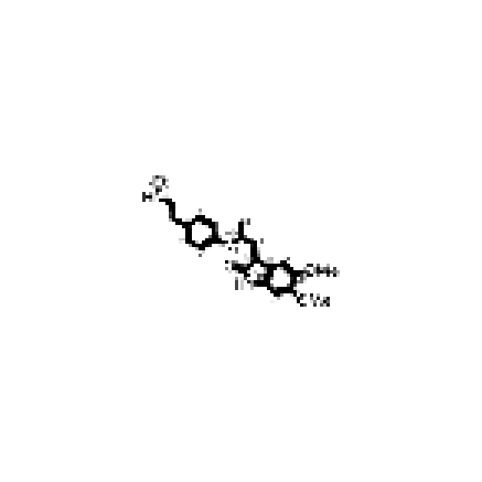 CCNCCc1ccc(NC(C)C=C2C(=O)Nc3cc(OC)c(OC)cc32)cc1